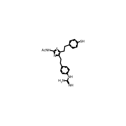 CC(=O)Nc1nc(CCc2ccc(NC(=N)N)cc2)c(CCc2ccc(S)cc2)s1